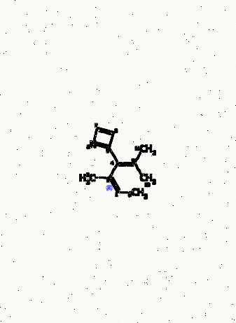 C/C=C(/C)C(C1=NC=C1)=C(C)C